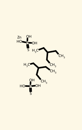 CCC(CC)CC.CCC(CC)CC.OP(O)(O)=S.OP(O)(O)=S.[Zn]